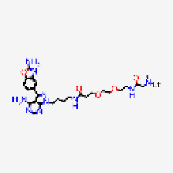 CCN(C)CC(=O)NCCOCCOCCC(=O)NCCCCn1nc(-c2ccc3oc(N)nc3c2)c2c(N)ncnc21